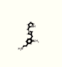 BCCc1ccc(CC2CN(CC3CCCN3)C2)c(C)c1